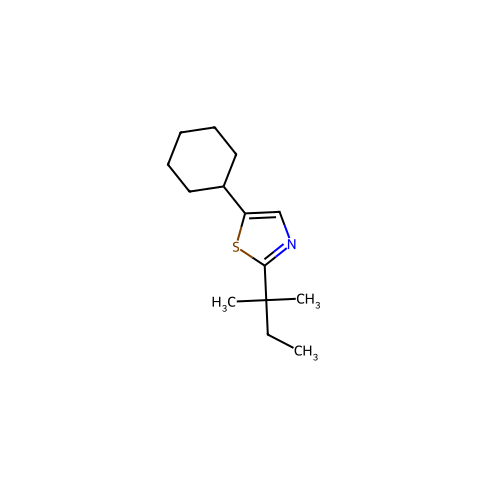 CCC(C)(C)c1ncc(C2CCCCC2)s1